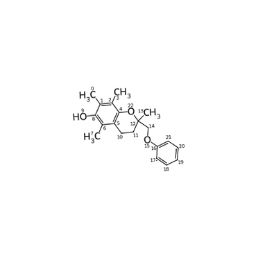 Cc1c(C)c2c(c(C)c1O)CCC(C)(COc1[c]cccc1)O2